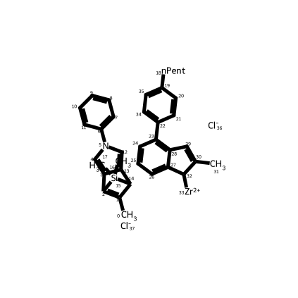 CC1=C2c3cn(-c4ccccc4)cc3C1[Si]2(C)C.CCCCCc1ccc(-c2cccc3c2C=C(C)[CH]3[Zr+2])cc1.[Cl-].[Cl-]